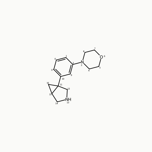 c1cc(N2CCOCC2)cc(C23CNCC2C3)c1